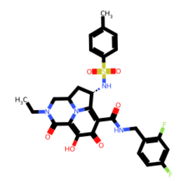 CCN1CC2C[C@H](NS(=O)(=O)c3ccc(C)cc3)c3c(C(=O)NCc4ccc(F)cc4F)c(=O)c(O)c(n32)C1=O